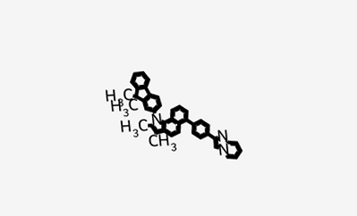 Cc1c(C)n(-c2ccc3c(c2)C(C)(C)c2ccccc2-3)c2c1ccc1c(-c3ccc(-c4cn5ccccc5n4)cc3)cccc12